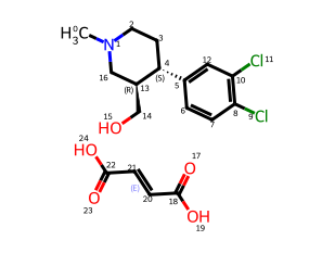 CN1CC[C@H](c2ccc(Cl)c(Cl)c2)[C@@H](CO)C1.O=C(O)/C=C/C(=O)O